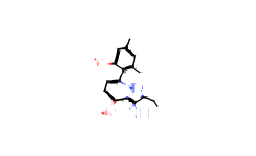 CCc1nn2c(-c3c(C)cc(C)cc3OC)ccc(OC)c2c1N